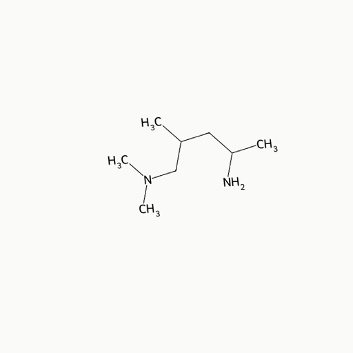 CC(N)CC(C)CN(C)C